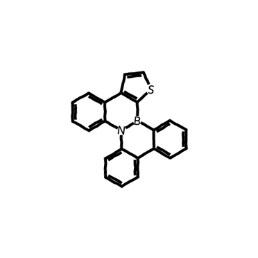 c1ccc2c(c1)B1c3sccc3-c3ccccc3N1c1ccccc1-2